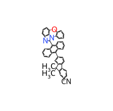 CC1(C)c2cc(C#N)ccc2-c2ccc(-c3c4ccccc4c(-c4nc5cccc6c5n4-c4ccccc4O6)c4ccccc34)cc21